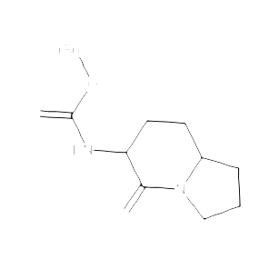 CC(C)(C)OC(=O)NC1CCC2CCCN2C1=O